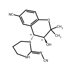 CC1(C)Oc2ccc(C#N)cc2[C@@H](N2CCCNC2=NC#N)[C@@H]1O